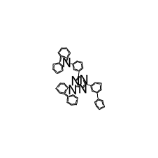 c1ccc(-c2cccc(-c3nc(-c4cccc(-n5c6ccccc6c6ccccc65)c4)nc(-n4c5ccccc5c5ccccc54)n3)c2)cc1